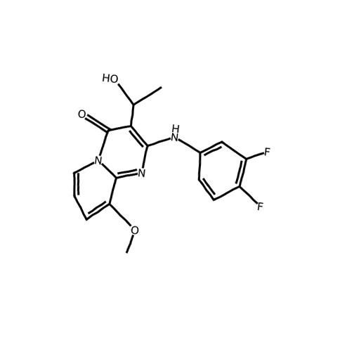 COc1cccn2c(=O)c(C(C)O)c(Nc3ccc(F)c(F)c3)nc12